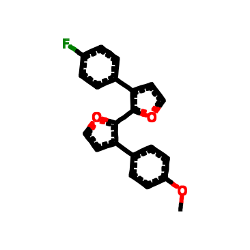 COc1ccc(-c2ccoc2-c2occc2-c2ccc(F)cc2)cc1